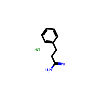 Cl.N=C(N)CCc1ccccc1